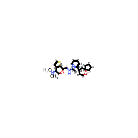 CN(C)C1COC(CNCC[C@@]2(c3ccccn3)CCOC3(CCCC3)C2)c2sccc21